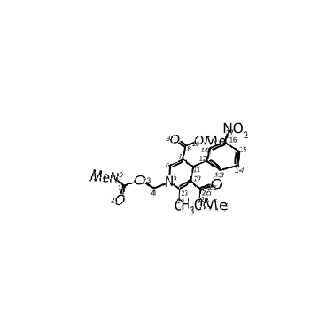 CNC(=O)OCN1C=C(C(=O)OC)C(c2cccc([N+](=O)[O-])c2)C(C(=O)OC)=C1C